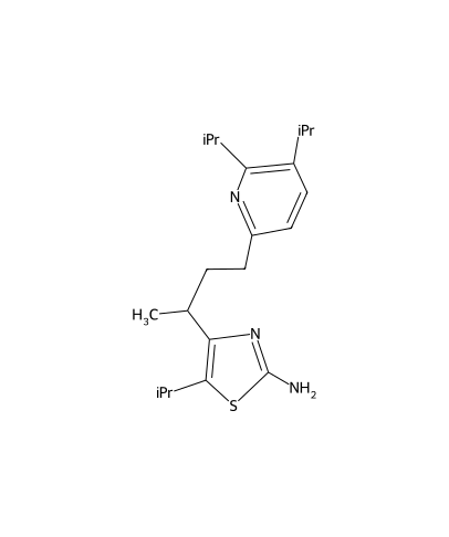 CC(C)c1ccc(CCC(C)c2nc(N)sc2C(C)C)nc1C(C)C